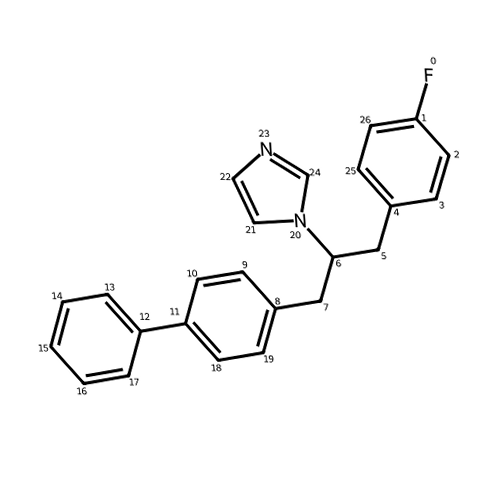 Fc1ccc(CC(Cc2ccc(-c3ccccc3)cc2)n2ccnc2)cc1